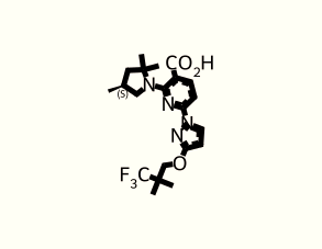 C[C@@H]1CN(c2nc(-n3ccc(OCC(C)(C)C(F)(F)F)n3)ccc2C(=O)O)C(C)(C)C1